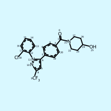 O=C(c1ccc(-c2cc(C(F)(F)F)nn2-c2ccccc2Cl)cc1)N1CCC(O)CC1